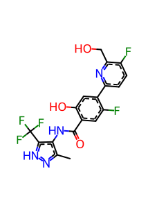 Cc1n[nH]c(C(F)(F)F)c1NC(=O)c1cc(F)c(-c2ccc(F)c(CO)n2)cc1O